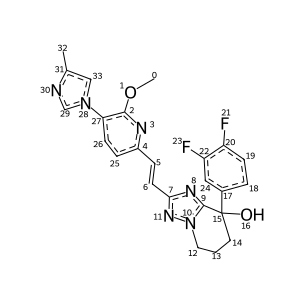 COc1nc(C=Cc2nc3n(n2)CCCC3(O)c2ccc(F)c(F)c2)ccc1-n1cnc(C)c1